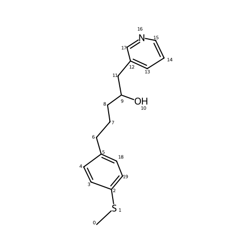 CSc1ccc(CCCC(O)Cc2cccnc2)cc1